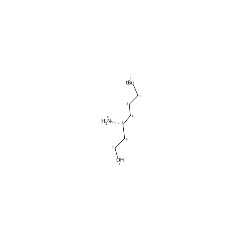 CC(C)(C)CCC[C@@H](N)CCO